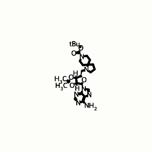 CC(C)(C)OC(=O)N1CCC2(CCCN2C[C@H]2O[C@@H](n3cnc4c(N)ncnc43)[C@@H]3OC(C)(C)O[C@@H]32)CC1